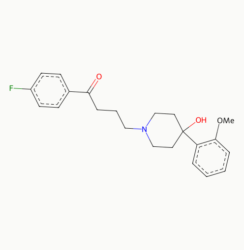 COc1ccccc1C1(O)CCN(CCCC(=O)c2ccc(F)cc2)CC1